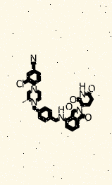 C[C@@H]1CN(c2ccc(C#N)cc2Cl)CCN1Cc1ccc(CNc2cccc3c2C(=O)N(C2CCC(=O)NC2=O)C3=O)cc1